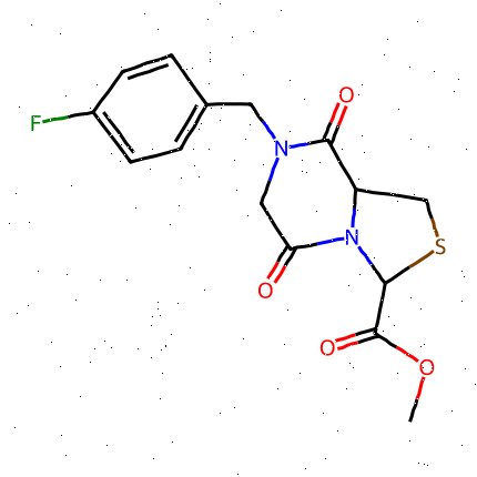 COC(=O)C1SCC2C(=O)N(Cc3ccc(F)cc3)CC(=O)N21